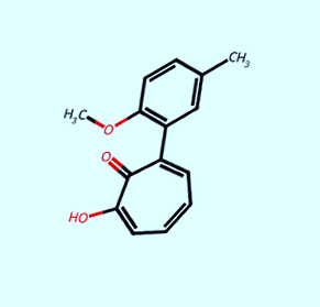 COc1ccc(C)cc1-c1ccccc(O)c1=O